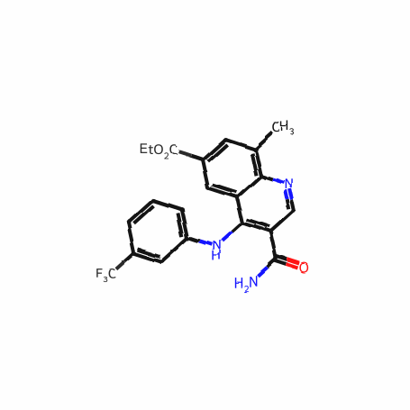 CCOC(=O)c1cc(C)c2ncc(C(N)=O)c(Nc3cccc(C(F)(F)F)c3)c2c1